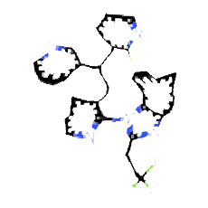 Fc1ncccc1C(Cc1cccnc1-n1c(CC(F)(F)F)nc2ccccc21)c1cccnc1